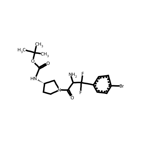 CC(C)(C)OC(=O)N[C@H]1CCN(C(=O)C(N)C(F)(F)c2ccc(Br)cc2)C1